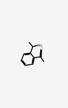 C=C(C)c1ccccc1C(C)N